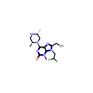 C[C@@H]1CN(c2nc(=O)n(C)c3c2nc(CC#N)n3CC(F)F)[C@@H](C)CN1